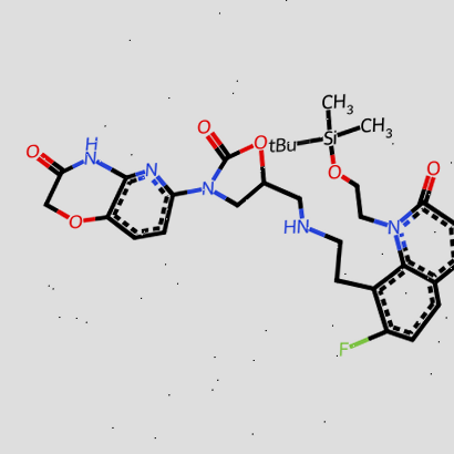 CC(C)(C)[Si](C)(C)OCCn1c(=O)ccc2ccc(F)c(CCNCC3CN(c4ccc5c(n4)NC(=O)CO5)C(=O)O3)c21